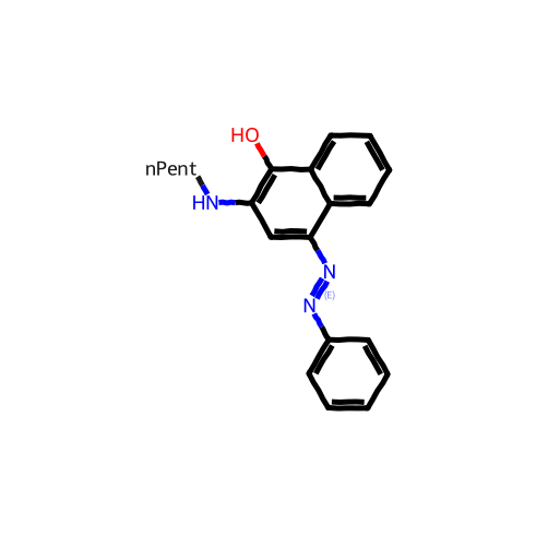 CCCCCNc1cc(/N=N/c2ccccc2)c2ccccc2c1O